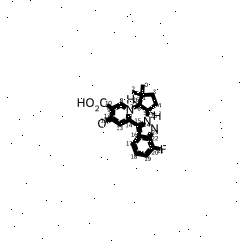 CC1(C)CC[C@@H]2[C@H]1n1cc(C(=O)O)c(=O)cc1-c1c3cccc(F)c3nn12